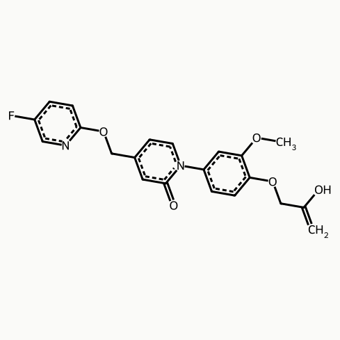 C=C(O)COc1ccc(-n2ccc(COc3ccc(F)cn3)cc2=O)cc1OC